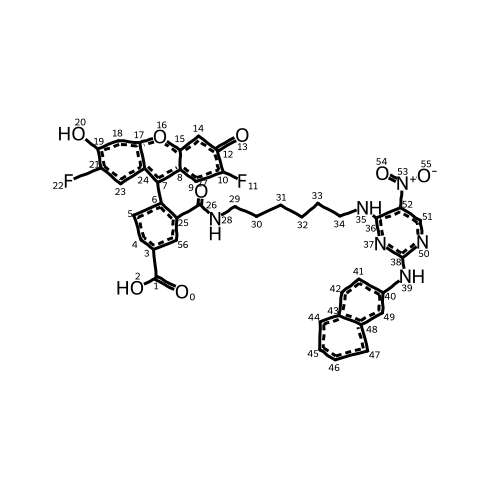 O=C(O)c1ccc(-c2c3cc(F)c(=O)cc-3oc3cc(O)c(F)cc23)c(C(=O)NCCCCCCNc2nc(Nc3ccc4ccccc4c3)ncc2[N+](=O)[O-])c1